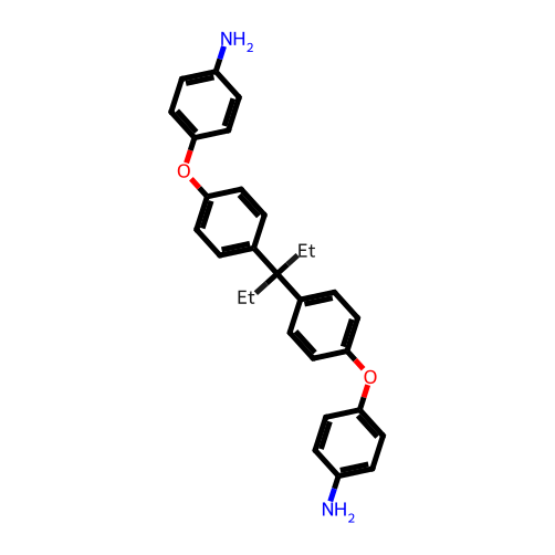 CCC(CC)(c1ccc(Oc2ccc(N)cc2)cc1)c1ccc(Oc2ccc(N)cc2)cc1